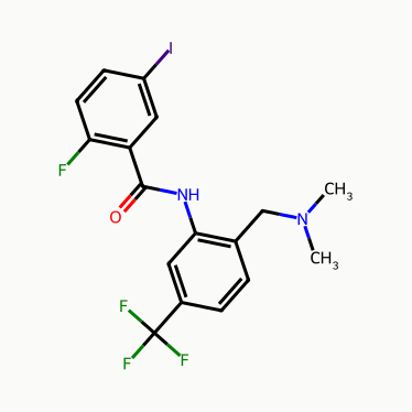 CN(C)Cc1ccc(C(F)(F)F)cc1NC(=O)c1cc(I)ccc1F